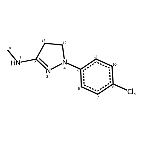 CNC1=NN(c2ccc(Cl)cc2)CC1